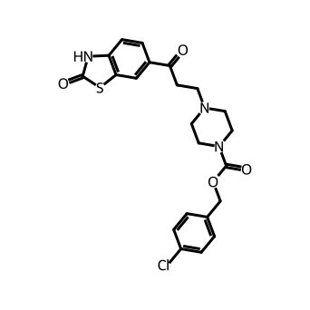 O=C(CCN1CCN(C(=O)OCc2ccc(Cl)cc2)CC1)c1ccc2[nH]c(=O)sc2c1